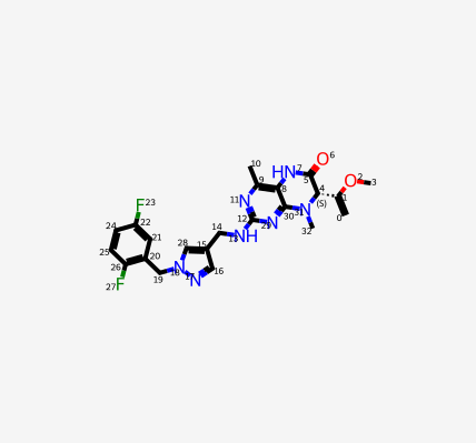 C=C(OC)[C@H]1C(=O)Nc2c(C)nc(NCc3cnn(Cc4cc(F)ccc4F)c3)nc2N1C